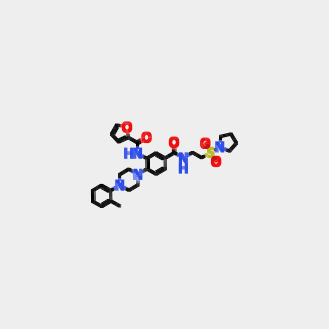 Cc1ccccc1N1CCN(c2ccc(C(=O)NCCS(=O)(=O)N3CCCC3)cc2NC(=O)c2ccco2)CC1